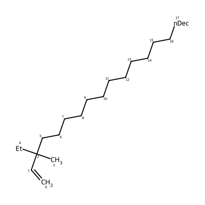 C=CC(C)(CC)CCCCCCCCCCCCCCCCCCCCCC